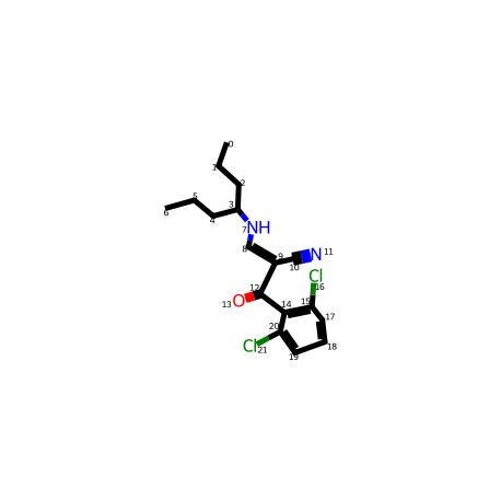 CCCC(CCC)NC=C(C#N)C(=O)c1c(Cl)cccc1Cl